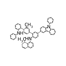 CC1CC=Cc2cccc(Nc3ccc(-c4ccc5c(c4)c4ccccc4n5-c4ccccc4)cc3C3=C[C@@H](C)C(c4ccccc4Nc4ccccc4)C=C3)c21